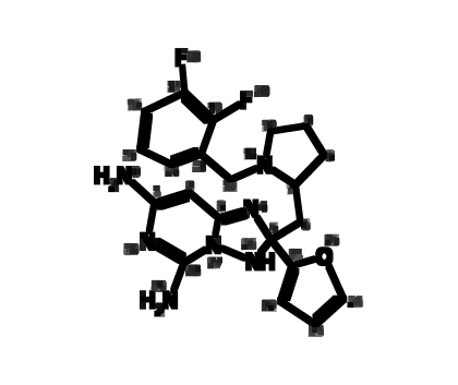 NC1=CC2=NC(CC3CCCN3Cc3cccc(F)c3F)(c3ccco3)NN2C(N)=N1